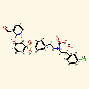 O=Cc1cccnc1Oc1cccc(S(=O)(=O)c2ccc(CCN(C[C@H](O)c3cccc(Cl)c3)C(=O)O)cc2)c1